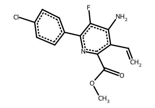 C=Cc1c(C(=O)OC)nc(-c2ccc(Cl)cc2)c(F)c1N